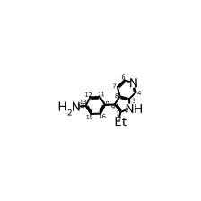 [CH2]Cc1[nH]c2cnccc2c1-c1ccc(N)cc1